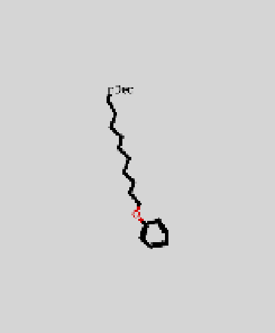 CCCCCCCCCCCCCCCCCCCCOc1[c]cccc1